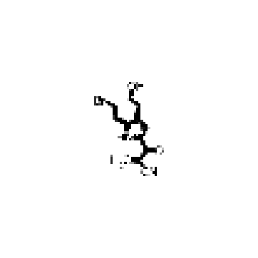 C=C(C#N)C(=O)c1cc(=C/CO)/c(=C\CBr)[nH]1